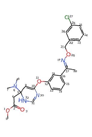 COC(=O)CC1(N(C)C)C=C(Oc2cccc(C(C)=NOCc3cccc(Cl)c3)c2)N=CN1